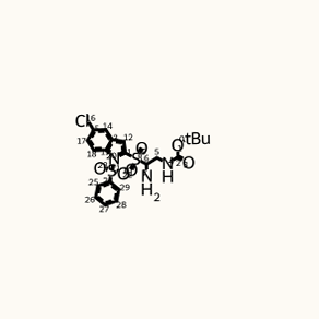 CC(C)(C)OC(=O)NCC(N)S(=O)(=O)c1cc2cc(Cl)ccc2n1S(=O)(=O)c1ccccc1